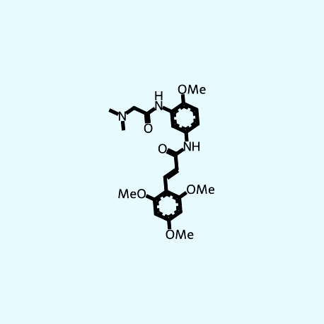 COc1cc(OC)c(C=CC(=O)Nc2ccc(OC)c(NC(=O)CN(C)C)c2)c(OC)c1